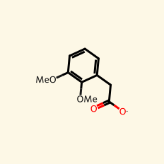 COc1cccc(CC([O])=O)c1OC